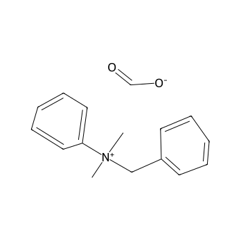 C[N+](C)(Cc1ccccc1)c1ccccc1.O=C[O-]